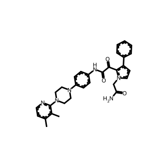 Cc1ccnc(N2CCN(c3ccc(NC(=O)C(=O)c4c(-c5ccccc5)ccn4CC(N)=O)cc3)CC2)c1C